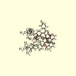 CCOC(=O)[C@@H](Cc1cc(CN(C(=O)OC(C)(C)C)S(=O)(=O)CC[Si](C)(C)C)ccc1OCc1ccnc(-c2ccccc2OC)n1)Oc1ncnc2sc(-c3ccc(F)cc3)c(-c3ccc(CO[Si](C)(C)C(C)(C)C)c(Cl)c3C)c12